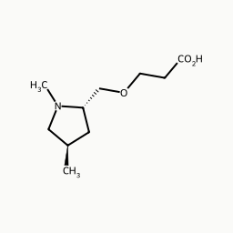 C[C@@H]1C[C@@H](COCCC(=O)O)N(C)C1